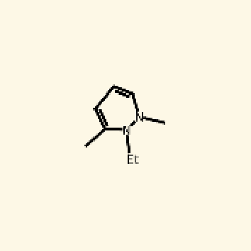 CCN1C(C)=CC=CN1C